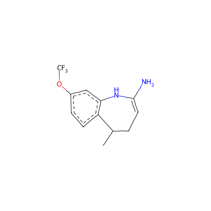 CC1CC=C(N)Nc2cc(OC(F)(F)F)ccc21